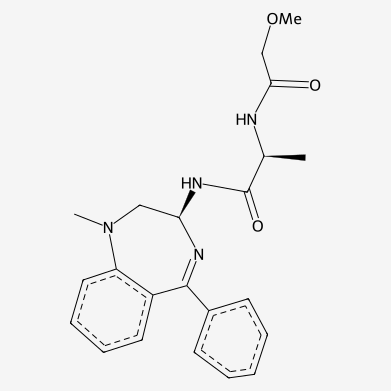 COCC(=O)N[C@@H](C)C(=O)N[C@@H]1CN(C)c2ccccc2C(c2ccccc2)=N1